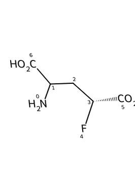 NC(C[C@@H](F)C(=O)O)C(=O)O